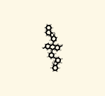 Cc1ccc2c(-c3ccc4oc5c6ccccc6ccc5c4c3)c3cc(C)ccc3c(-c3cccc(-c4cccc5c4oc4ccccc45)c3)c2c1